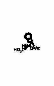 CC(=O)SCC1(C(=O)NCC(=O)O)Cc2ccccc2C1